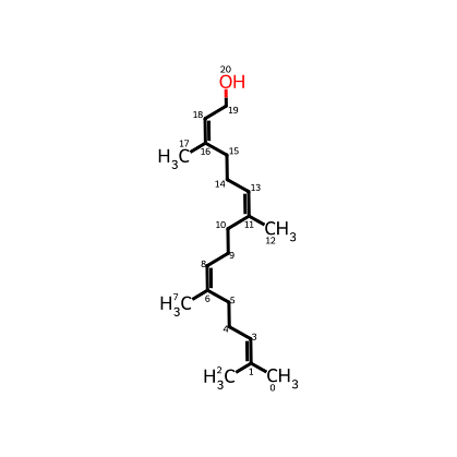 CC(C)=CCC/C(C)=C\CC/C(C)=C\CC/C(C)=C\CO